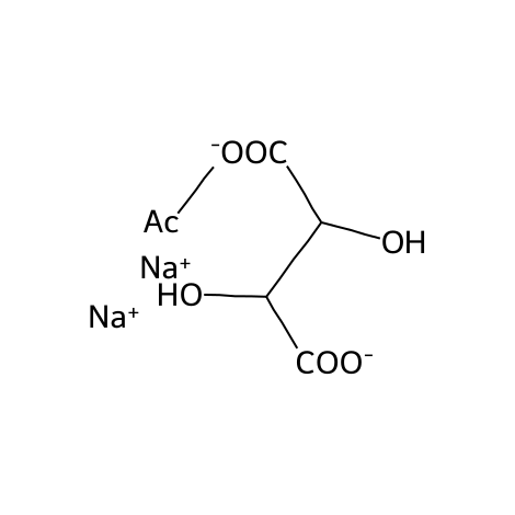 CC(C)=O.O=C([O-])C(O)C(O)C(=O)[O-].[Na+].[Na+]